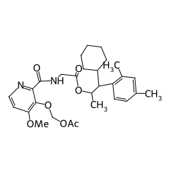 COc1ccnc(C(=O)NCC(=O)OC(C)C(c2ccc(C)cc2C)C2CCCCC2)c1OCOC(C)=O